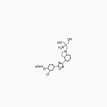 CCCCCOc1ccc(-c2nc(-c3cccc4c3CCN4CC(N)(CO)CO)no2)cc1Cl